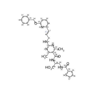 Cc1nc(NC/C=C/c2cccc(OCc3ccccc3)n2)nc(C)c1C(=O)NC(CNC(=O)c1cccs1)C(=O)O